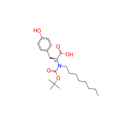 CCCCCCCCN(C(=O)OC(C)(C)C)[C@@H](Cc1ccc(O)cc1)C(=O)O